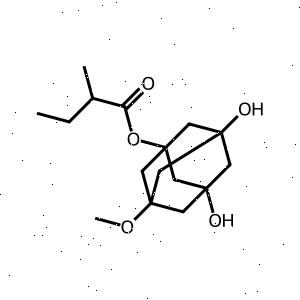 CCC(C)C(=O)OC12CC3(O)CC(O)(CC(OC)(C3)C1)C2